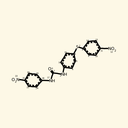 O=C(Nc1ccc(Sc2ccc([N+](=O)[O-])cc2)cc1)Nc1ccc([N+](=O)[O-])cc1